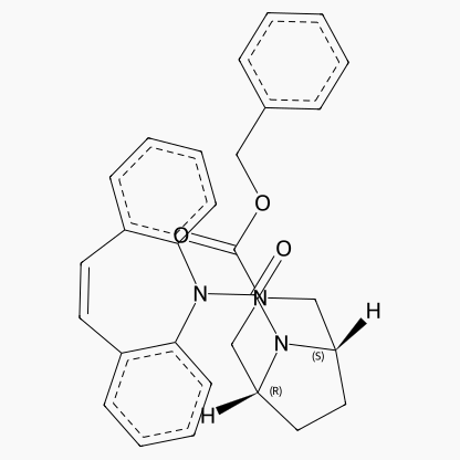 O=C(OCc1ccccc1)N1C[C@H]2CC[C@@H](C1)N2C(=O)N1c2ccccc2C=Cc2ccccc21